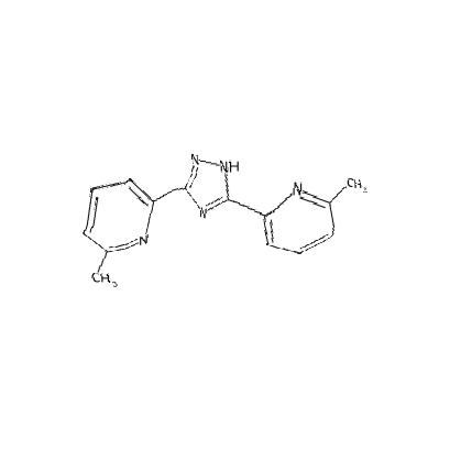 Cc1cccc(-c2n[nH]c(-c3cccc(C)n3)n2)n1